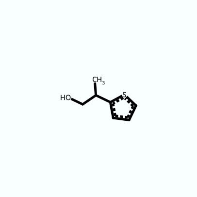 CC(CO)c1cccs1